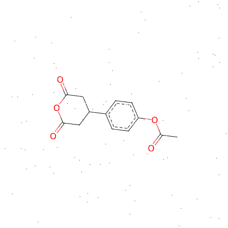 CC(=O)Oc1ccc(C2CC(=O)OC(=O)C2)cc1